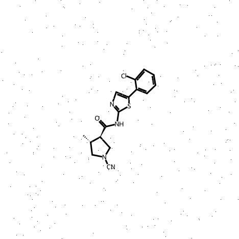 C[C@H]1CN(C#N)C[C@@H]1C(=O)Nc1ncc(-c2ccccc2Cl)s1